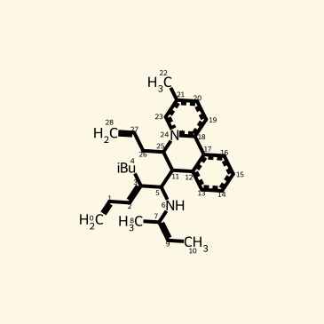 C=C/C=C(\C(C)CC)C(N/C(C)=C\C)C1c2ccccc2-c2ccc(C)c[n+]2C1CC=C